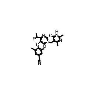 Cc1nc(C)c(Cn2cnc(C(C)F)c(Oc3c(C)cc(C#N)cc3C)c2=O)c(=O)[nH]1